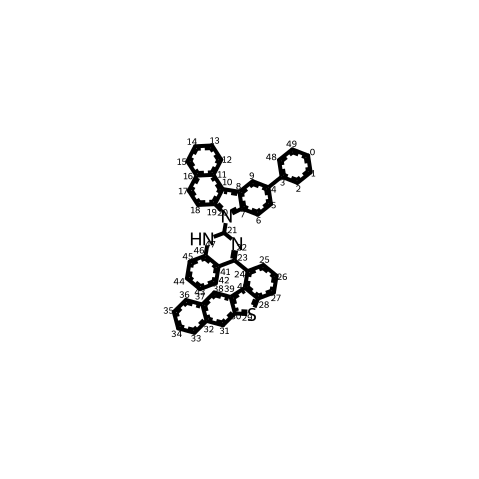 c1ccc(-c2ccc3c(c2)c2c4ccccc4ccc2n3C2N=C(c3cccc4sc5cc6ccccc6cc5c34)c3ccccc3N2)cc1